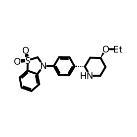 CCO[C@H]1CCN[C@H](c2ccc(N3CS(=O)(=O)c4ccccc43)cc2)C1